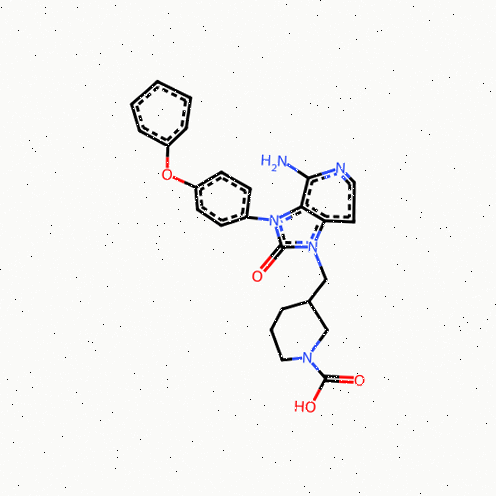 Nc1nccc2c1n(-c1ccc(Oc3ccccc3)cc1)c(=O)n2CC1CCCN(C(=O)O)C1